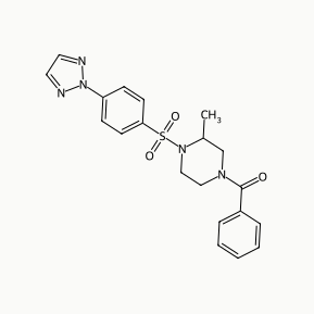 CC1CN(C(=O)c2ccccc2)CCN1S(=O)(=O)c1ccc(-n2nccn2)cc1